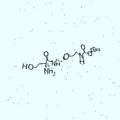 CC(C)(C)OC(=O)NCCOCCNC(=O)[C@@H](N)CCO